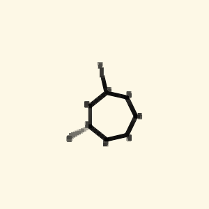 C[C@H]1CCCCC(I)C1